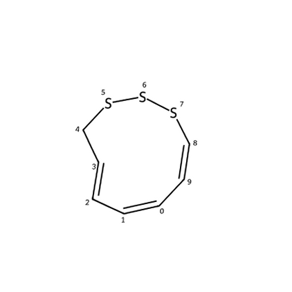 C1=C\C=C\CSSS\C=C/1